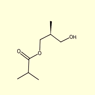 CC(C)C(=O)OC[C@@H](C)CO